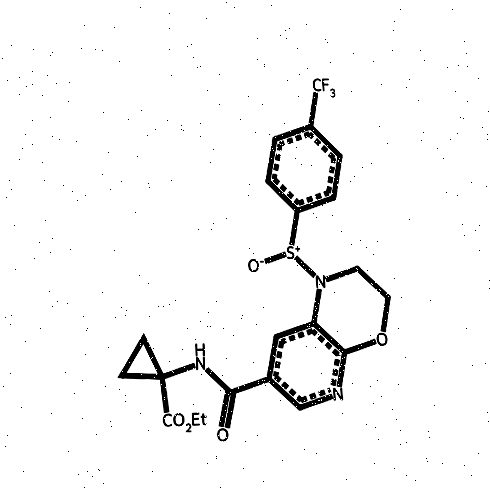 CCOC(=O)C1(NC(=O)c2cnc3c(c2)N([S+]([O-])c2ccc(C(F)(F)F)cc2)CCO3)CC1